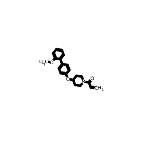 C=CC(=O)N1CCC(Oc2ccc(-c3ccccc3OC)cc2)CC1